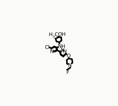 CC1(O)CCC(Nc2cc(Cl)ncc2-c2ccc(OC3CCN(CCF)CC3)nn2)CC1